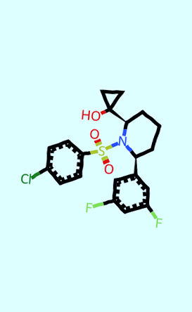 O=S(=O)(c1ccc(Cl)cc1)N1[C@H](c2cc(F)cc(F)c2)CCC[C@@H]1C1(O)CC1